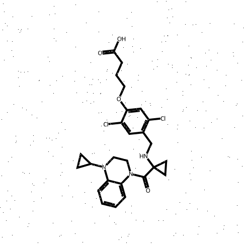 O=C(O)CCCOc1cc(Cl)c(CNC2(C(=O)N3CCN(C4CC4)c4ccccc43)CC2)cc1Cl